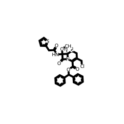 COC1(NC(=O)Cc2cccs2)C(=O)N2C(C(=O)OC(c3ccccc3)c3ccccc3)=C(CCl)CS[C@@H]21